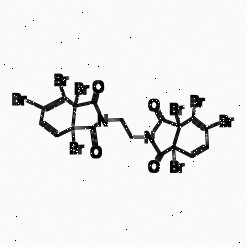 O=C1N(CCN2C(=O)C3(Br)C=CC(Br)=C(Br)C3(Br)C2=O)C(=O)C2(Br)C(Br)=C(Br)C=CC12Br